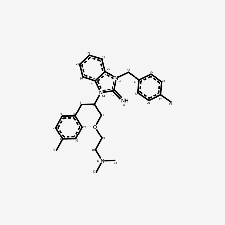 Cc1ccc(CC(COCCN(C)C)n2c(=N)n(Cc3ccc(C)cc3)c3ccccc32)cc1